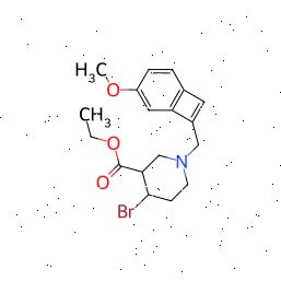 CCOC(=O)C1CN(CC2=Cc3ccc(OC)cc32)CCC1Br